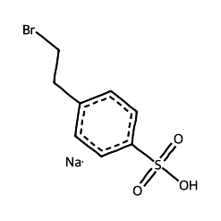 O=S(=O)(O)c1ccc(CCBr)cc1.[Na]